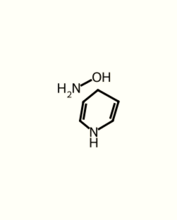 C1=CNC=CC1.NO